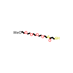 COCCOCCOCCOCCOCCSC(=O)CCS